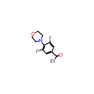 CCC(=O)c1cc(F)c(N2CCOCC2)c(F)c1